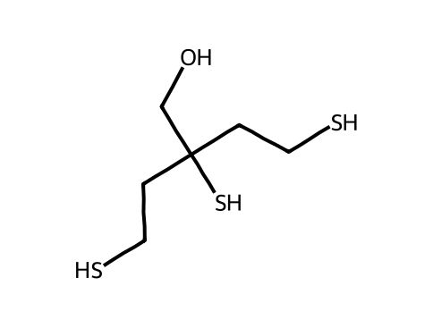 OCC(S)(CCS)CCS